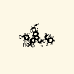 CC[C@@H]1COc2cc3c(cc2O1)C[C@H](C[C@@H](C)COc1ccnc2c1[C@H](C)CCC2)C31CCC(Nc2cccc(Cl)c2)(C(=O)O)CC1